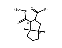 CC(C)C(=O)N1C[C@@H]2CCC[C@@H]2[C@H]1C(=O)NC(C)(C)C